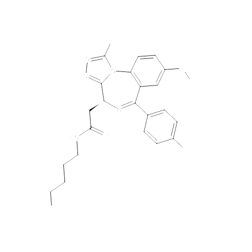 [CH2]CCCCNC(=O)C[C@@H]1N=C(c2ccc(Cl)cc2)c2cc(OC)ccc2-n2c(C)nnc21